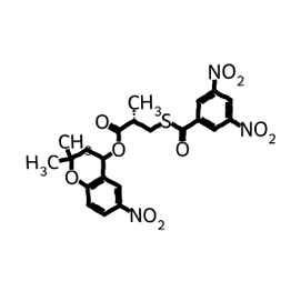 C[C@H](CSC(=O)c1cc([N+](=O)[O-])cc([N+](=O)[O-])c1)C(=O)OC1CC(C)(C)Oc2ccc([N+](=O)[O-])cc21